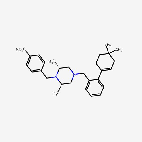 C[C@@H]1CN(Cc2ccccc2C2=CCC(C)(C)CC2)C[C@H](C)N1Cc1ccc(C(=O)O)cc1